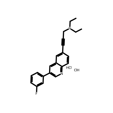 CCN(CC)CC#Cc1ccc2ncc(-c3cccc(F)c3)cc2c1.Cl.Cl